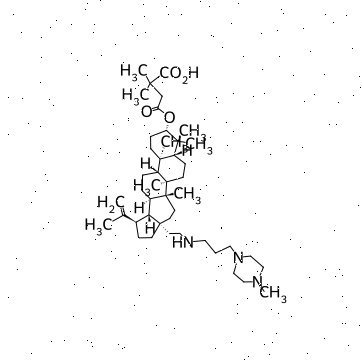 C=C(C)[C@@H]1CC[C@]2(CCNCCCN3CCN(C)CC3)CC[C@]3(C)[C@H](CC[C@@H]4[C@@]5(C)CC[C@H](OC(=O)CC(C)(C)C(=O)O)C(C)(C)[C@@H]5CC[C@]43C)[C@@H]12